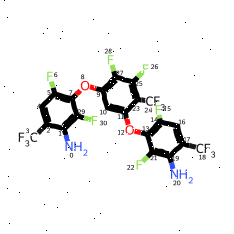 Nc1c(C(F)(F)F)cc(F)c(Oc2cc(Oc3c(F)cc(C(F)(F)F)c(N)c3F)c(C(F)(F)F)c(F)c2F)c1F